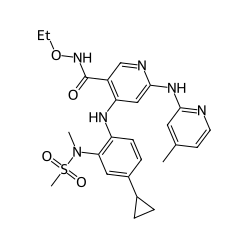 CCONC(=O)c1cnc(Nc2cc(C)ccn2)cc1Nc1ccc(C2CC2)cc1N(C)S(C)(=O)=O